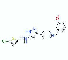 COc1cccc(CN2CCC(c3cc(NCc4ccc(Cl)s4)[nH]n3)CC2)c1